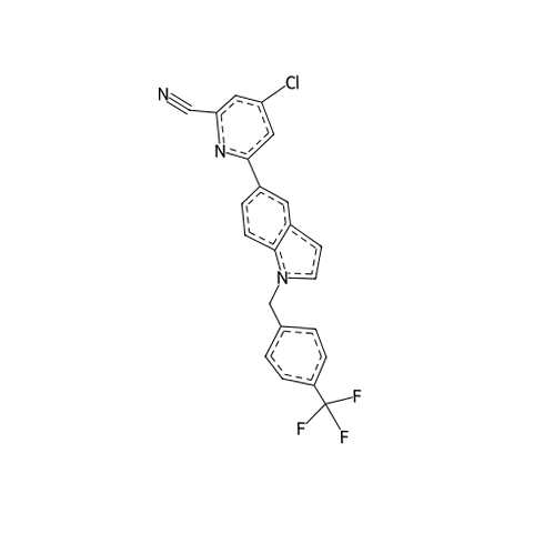 N#Cc1cc(Cl)cc(-c2ccc3c(ccn3Cc3ccc(C(F)(F)F)cc3)c2)n1